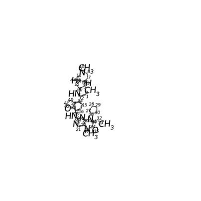 CC=C(N[C@@H]1C[C@H]2CCN(C)C[C@H]2C1)c1ccc(Nc2ncc3c(n2)N(C2CCCC2)[C@H](CC)C(=O)N3C)c2c1CCO2